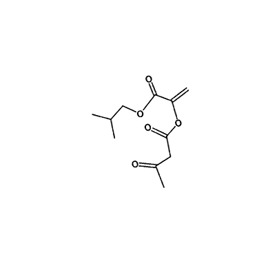 C=C(OC(=O)CC(C)=O)C(=O)OCC(C)C